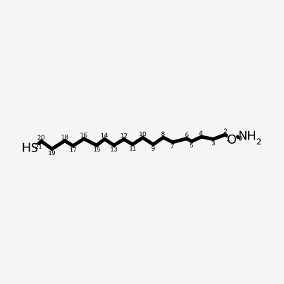 NOCCCCCCCCCCCCCCCCCCCS